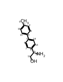 Cc1ccc(-c2ccc([C@@H](N)CO)cc2)cc1